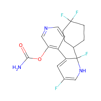 NC(=O)Oc1cnccc1C1=CC(F)=CNC1(F)C1CCC(F)(F)CC1